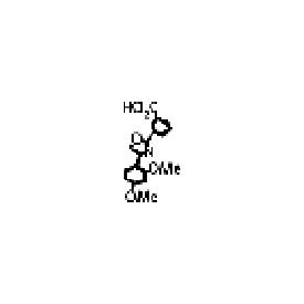 COc1ccc(-c2coc(-c3cccc(C(=O)O)c3)n2)c(OC)c1